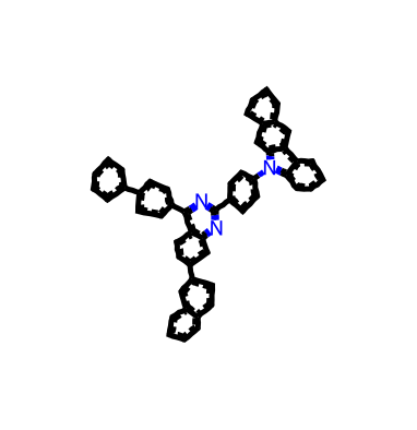 c1ccc(-c2ccc(-c3nc(-c4ccc(-n5c6ccccc6c6cc7ccccc7cc65)cc4)nc4cc(-c5ccc6ccccc6c5)ccc34)cc2)cc1